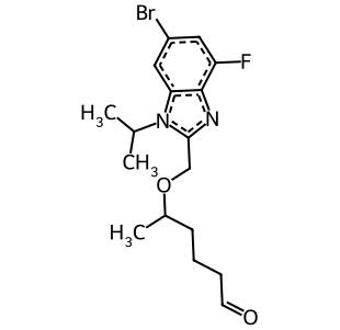 CC(CCCC=O)OCc1nc2c(F)cc(Br)cc2n1C(C)C